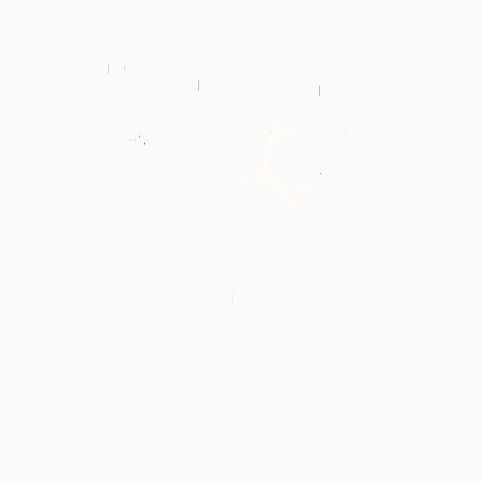 CC(C)Nc1cc(B2OC(C)(C)C(C)(C)O2)cc(-c2ccc(F)cc2F)c1